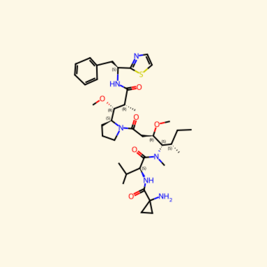 CC[C@H](C)[C@@H]([C@@H](CC(=O)N1CCC[C@H]1[C@H](OC)[C@@H](C)C(=O)N[C@@H](Cc1ccccc1)c1nccs1)OC)N(C)C(=O)[C@@H](NC(=O)C1(N)CC1)C(C)C